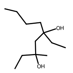 CCCCC(O)(CC)CC(C)(O)CC